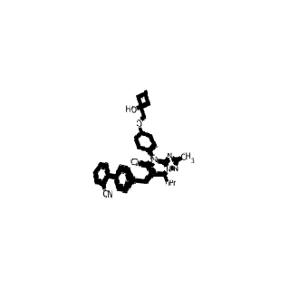 CCCc1c(Cc2ccc(-c3ccccc3C#N)cc2)c(=O)n(C2CCC(OCC3(O)CCC3)CC2)c2nc(C)nn12